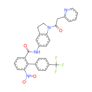 O=C(Nc1ccc2c(c1)CCN2C(=O)Cc1ccccn1)c1cccc([N+](=O)[O-])c1-c1ccc(C(F)(F)F)cc1